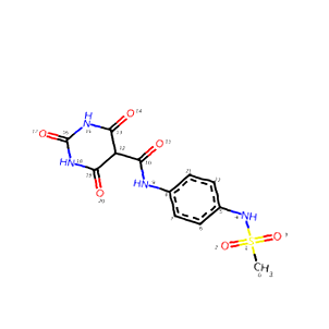 CS(=O)(=O)Nc1ccc(NC(=O)C2C(=O)NC(=O)NC2=O)cc1